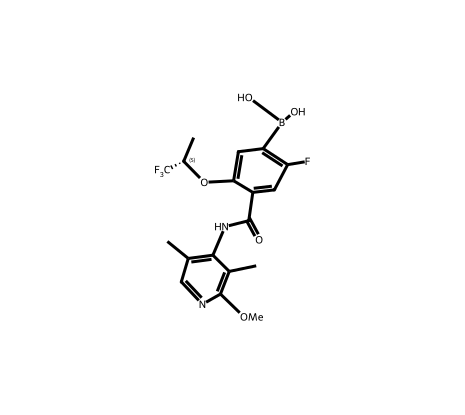 COc1ncc(C)c(NC(=O)c2cc(F)c(B(O)O)cc2O[C@@H](C)C(F)(F)F)c1C